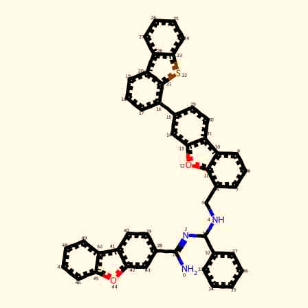 N/C(=N\C(NCc1cccc2c1oc1cc(-c3cccc4c3sc3ccccc34)ccc12)c1ccccc1)c1ccc2c(c1)oc1ccccc12